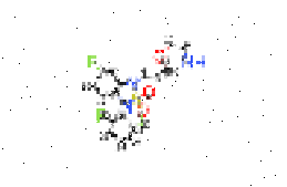 O=S1(=O)N(CC[C@@H]2CNCCO2)c2cc(F)ccc2N1c1c(F)cccc1F